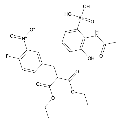 CC(=O)Nc1c(O)cccc1[As](=O)(O)O.CCOC(=O)C(Cc1ccc(F)c([N+](=O)[O-])c1)C(=O)OCC